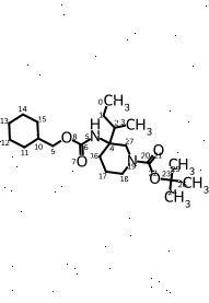 CCC(C)C1(NC(=O)OCC2CCCCC2)CCCN(C(=O)OC(C)(C)C)C1